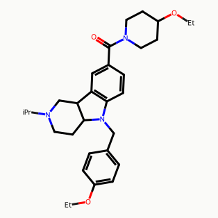 CCOc1ccc(CN2c3ccc(C(=O)N4CCC(OCC)CC4)cc3C3CN(C(C)C)CCC32)cc1